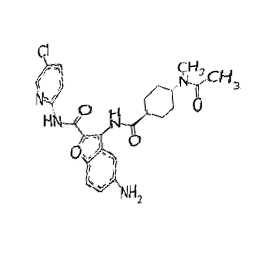 CC(=O)N(C)[C@H]1CC[C@H](C(=O)Nc2c(C(=O)Nc3ccc(Cl)cn3)oc3ccc(N)cc23)CC1